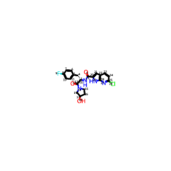 O=C(N[C@@H](Cc1ccc(F)cc1)C(=O)N1CCC(O)C1)c1cc2ccc(Cl)nc2[nH]1